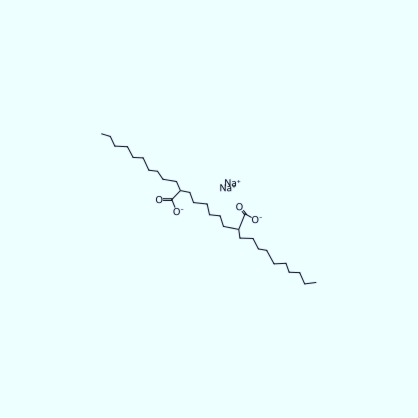 CCCCCCCCCCC(CCCCCCC(CCCCCCCCCC)C(=O)[O-])C(=O)[O-].[Na+].[Na+]